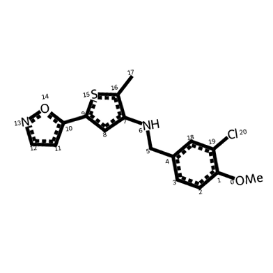 COc1ccc(CNc2cc(-c3ccno3)sc2C)cc1Cl